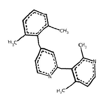 Cc1cccc(C)c1-c1ccnc(-c2c(C)ccnc2C)c1